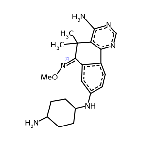 CO/N=C1\c2cc(NC3CCC(N)CC3)ccc2-c2ncnc(N)c2C1(C)C